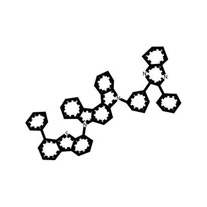 c1ccc(-c2nc3ccccc3nc2-c2cccc(-n3c4ccccc4c4c5c6ccccc6n(-c6cccc7c6sc6c(-c8ccccc8)cccc67)c5ccc43)c2)cc1